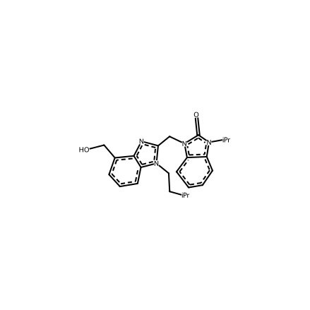 CC(C)CCn1c(Cn2c(=O)n(C(C)C)c3ccccc32)nc2c(CO)cccc21